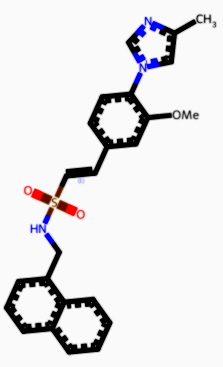 COc1cc(/C=C/S(=O)(=O)NCc2cccc3ccccc23)ccc1-n1cnc(C)c1